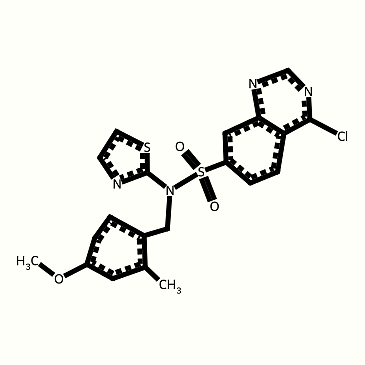 COc1ccc(CN(c2nccs2)S(=O)(=O)c2ccc3c(Cl)ncnc3c2)c(C)c1